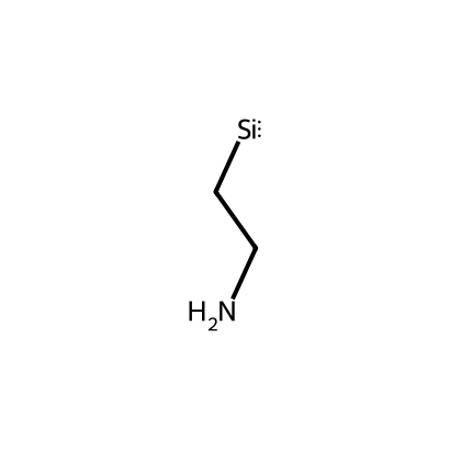 NCC[Si]